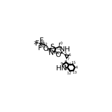 C[C@@H](NC(=O)[C@H]1C[C@@H]1c1c[nH]c2ccccc12)c1cnc(OCC(F)(F)F)s1